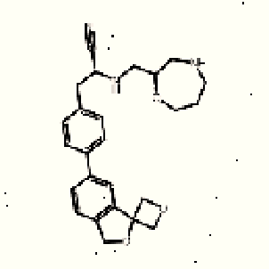 N#C[C@H](Cc1ccc(-c2ccc3c(c2)C2(COC2)OC3)cc1)NCC1CNCCCO1